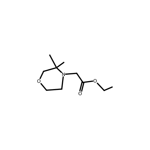 CCOC(=O)CN1CCOCC1(C)C